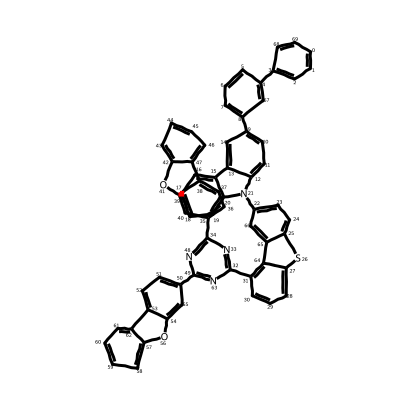 c1ccc(-c2cccc(-c3ccc4c(c3)c3ccccc3n4-c3ccc4sc5cccc(-c6nc(-c7ccc8c(c7)oc7ccccc78)nc(-c7ccc8c(c7)oc7ccccc78)n6)c5c4c3)c2)cc1